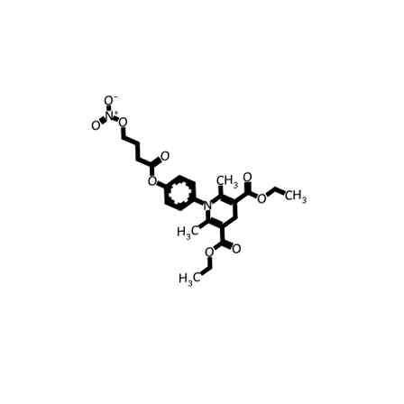 CCOC(=O)C1=C(C)N(c2ccc(OC(=O)CCCO[N+](=O)[O-])cc2)C(C)=C(C(=O)OCC)C1